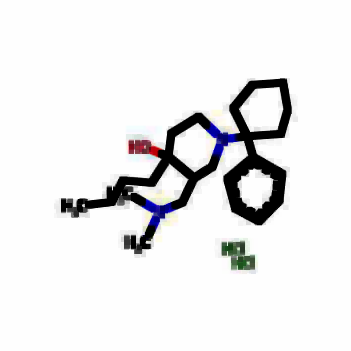 CCCCC1(O)CCN(C2(c3ccccc3)CCCCC2)CC1CN(C)C.Cl.Cl